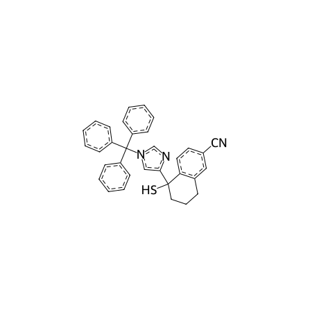 N#Cc1ccc2c(c1)CCCC2(S)c1cn(C(c2ccccc2)(c2ccccc2)c2ccccc2)cn1